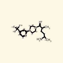 CC(N)CCC(C)C(=O)N1CCN(c2cc(C(F)(F)F)ccn2)CC1